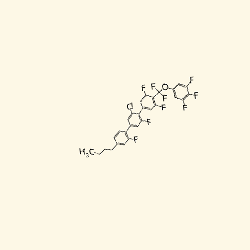 CCCCc1ccc(-c2cc(F)c(-c3cc(F)c(C(F)(F)Oc4cc(F)c(F)c(F)c4)c(F)c3)c(Cl)c2)c(F)c1